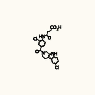 O=C(O)CCC(=O)Nc1ccc(C(=O)N2CCc3c([nH]c4ccc(Cl)cc34)C2)cc1Cl